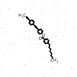 CC#Cc1ccc(C#Cc2ccc(OC(=O)c3ccc(CCCCCCCC)cc3)cc2)cc1